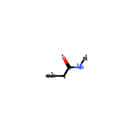 CCNC(=O)C[N]C